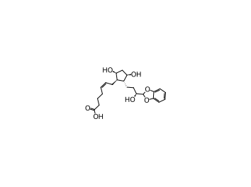 O=C(O)CCC/C=C\C[C@@H]1[C@@H](CC[C@H](O)C2Oc3ccccc3O2)[C@H](O)C[C@@H]1O